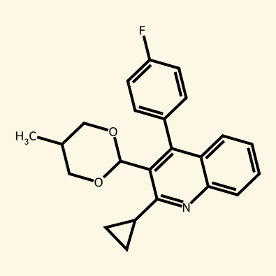 CC1COC(c2c(C3CC3)nc3ccccc3c2-c2ccc(F)cc2)OC1